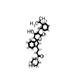 CC(C)c1ccccc1SC1=C(O)CC(CCCCC(=O)N2CCNCC2)(c2ccccc2)OC1=O